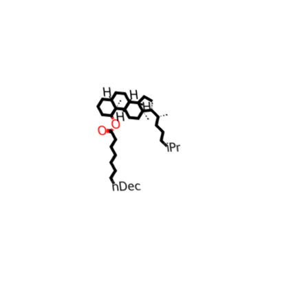 CCCCCCCCCCCCCCCCC(=O)OC1CCC[C@H]2CC[C@H]3[C@@H]4CC[C@H]([C@H](C)CCCC(C)C)[C@@]4(C)CC[C@@H]3[C@@]12C